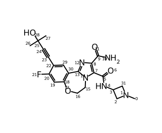 CN1CC(NC(=O)c2c(C(N)=O)nc3n2CCOc2cc(F)c(C#CC(C)(C)O)cc2-3)C1